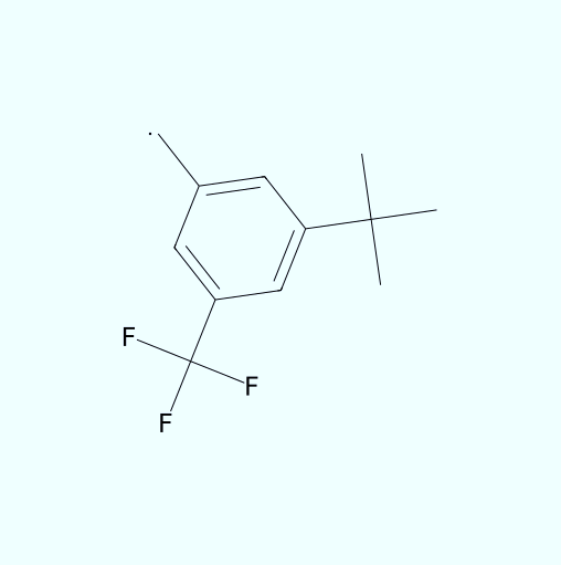 [CH2]c1cc(C(C)(C)C)cc(C(F)(F)F)c1